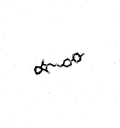 O=C1c2ccccc2C(=O)N1CCON=C1CCN(c2ncc(Br)cn2)CC1